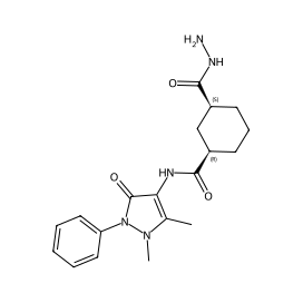 Cc1c(NC(=O)[C@@H]2CCC[C@H](C(=O)NN)C2)c(=O)n(-c2ccccc2)n1C